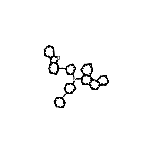 c1ccc(-c2ccc(N(c3cccc(-c4cccc5c4oc4ccccc45)c3)c3cc4ccc5ccccc5c4c4ccccc34)cc2)cc1